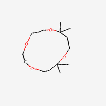 CC1(C)CCOCCOCCOC(C)(C)CCO1